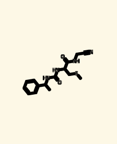 CSCC(NC(=O)NC(C)c1ccccc1)C(=O)NCC#N